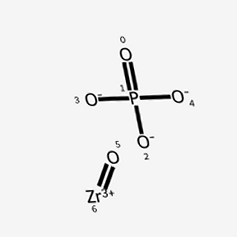 O=P([O-])([O-])[O-].[O]=[Zr+3]